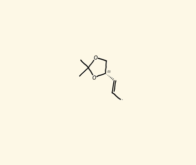 [CH2]C=C[C@H]1COC(C)(C)O1